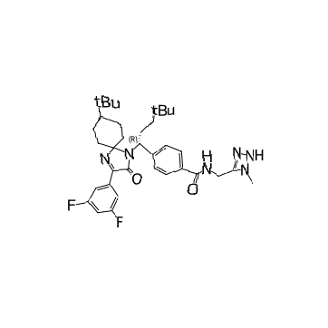 Cn1[nH]nc1CNC(=O)c1ccc([C@@H](CCC(C)(C)C)N2C(=O)C(c3cc(F)cc(F)c3)=NC23CCC(C(C)(C)C)CC3)cc1